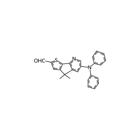 CC1(C)c2cc(N(c3ccccc3)c3ccccc3)cnc2-c2sc(C=O)cc21